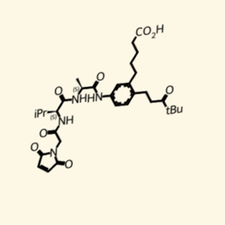 CC(C)[C@H](NC(=O)CN1C(=O)C=CC1=O)C(=O)N[C@@H](C)C(=O)Nc1ccc(CCC(=O)C(C)(C)C)c(CCCCC(=O)O)c1